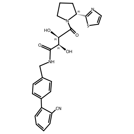 N#Cc1ccccc1-c1ccc(CNC(=O)[C@H](O)[C@@H](O)C(=O)N2CCC[C@@H]2c2nccs2)cc1